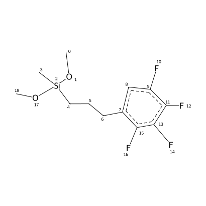 CO[Si](C)(CCCc1cc(F)c(F)c(F)c1F)OC